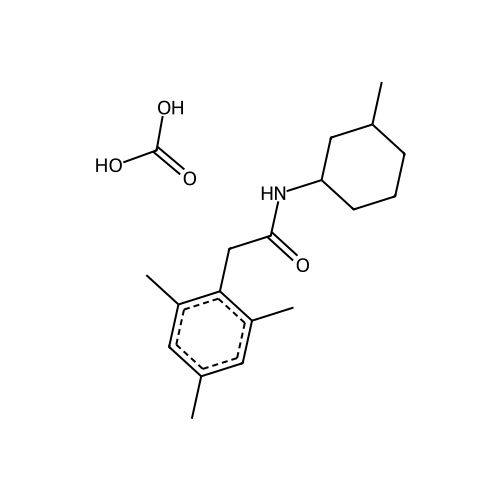 Cc1cc(C)c(CC(=O)NC2CCCC(C)C2)c(C)c1.O=C(O)O